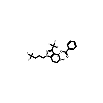 O=C(O[C@H]1c2c(C(F)(F)F)nn(CCCC(F)(F)F)c2CC[C@@H]1F)c1ccccc1